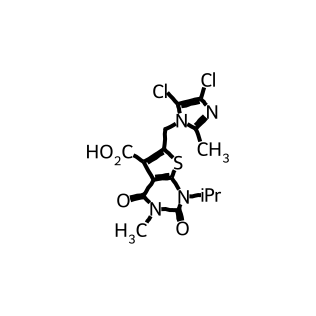 Cc1nc(Cl)c(Cl)n1Cc1sc2c(c1C(=O)O)c(=O)n(C)c(=O)n2C(C)C